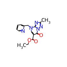 CCOC(=O)c1cn(Cc2ccccn2)c2nc(C)nn2c1=O